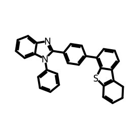 C1=Cc2sc3c(-c4ccc(-c5nc6ccccc6n5-c5ccccc5)cc4)cccc3c2CC1